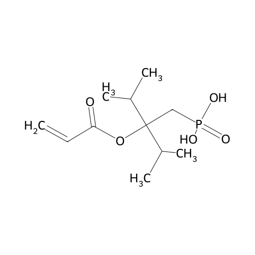 C=CC(=O)OC(CP(=O)(O)O)(C(C)C)C(C)C